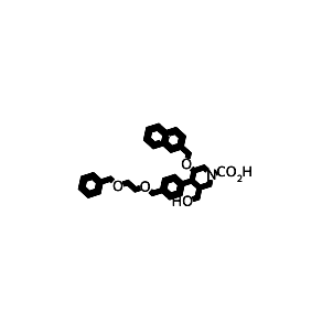 O=C(O)N1CC(CO)C(c2ccc(COCCOCc3ccccc3)cc2)C(OCc2ccc3ccccc3c2)C1